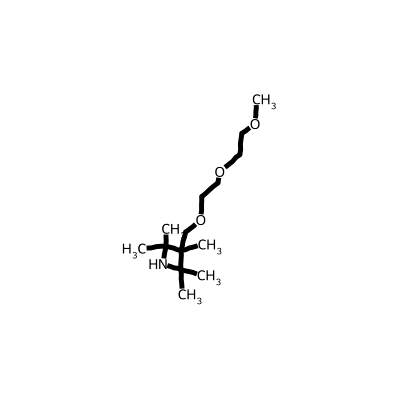 COCCOCCOCC1(C)C(C)(C)NC1(C)C